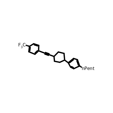 CCCCCc1ccc(C2CCC(C#Cc3ccc(C(F)(F)F)cc3)CC2)cc1